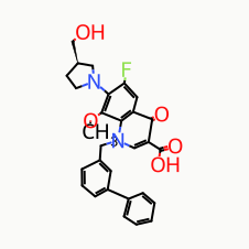 COc1c(N2CC[C@@H](CO)C2)c(F)cc2c(=O)c(C(=O)O)cn(Cc3cccc(-c4ccccc4)c3)c12